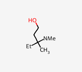 CCC(C)(CCO)NC